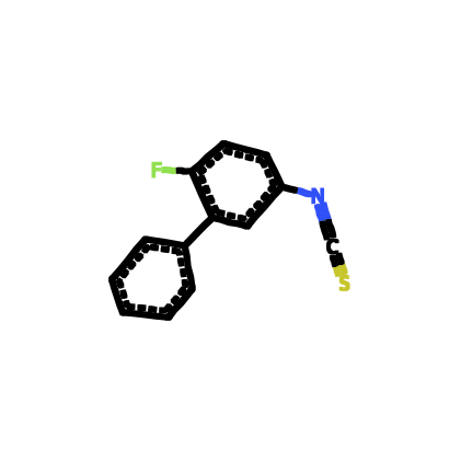 Fc1ccc(N=C=S)cc1-c1ccccc1